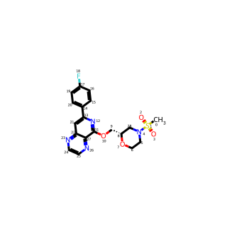 CS(=O)(=O)N1CCO[C@H](COc2nc(-c3ccc(F)cc3)cc3nccnc23)C1